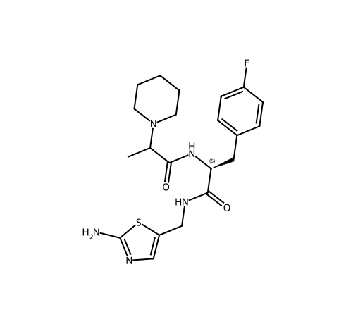 CC(C(=O)N[C@@H](Cc1ccc(F)cc1)C(=O)NCc1cnc(N)s1)N1CCCCC1